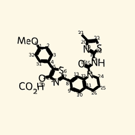 COc1ccc(-c2sc(-c3ccc4c(c3)N(C(=O)Nc3nc(C)cs3)CCC4)nc2OC(=O)O)cc1